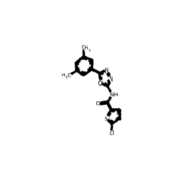 Cc1cc(C)cc(-c2nnc(NC(=O)c3ccc(Cl)s3)o2)c1